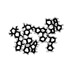 CC1(C)CCC(C)(C)c2cc3c(cc21)-c1cc2ccccc2c2c1B(c1cccc4c1N2c1ccccc1C41c2ccccc2-c2ccccc21)N3c1ccc2c(c1)C(C)(C)CCC2(C)Cc1ccc2c3c4c(cc2c1)N1c2ccccc2C2(c5ccccc5-c5ccccc52)c2cccc(c21)B4N(c1cccc2c1sc1ccccc12)c1ccccc1-3